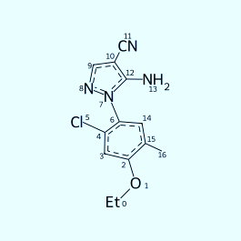 CCOc1cc(Cl)c(-n2ncc(C#N)c2N)cc1C